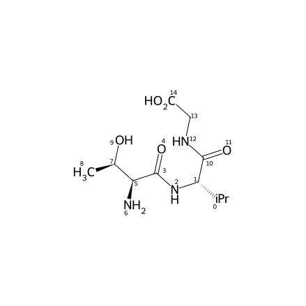 CC(C)[C@H](NC(=O)[C@@H](N)[C@@H](C)O)C(=O)NCC(=O)O